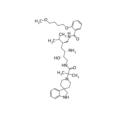 COCCCCOc1ccccc1C(=O)NC[C@@H](C[C@H](N)[C@@H](O)CNC(=O)C(C)(C)N1CCC2(CC1)CNc1ccccc12)C(C)C